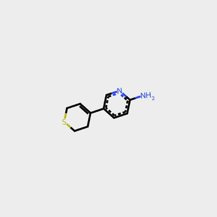 Nc1ccc(C2=CCSCC2)cn1